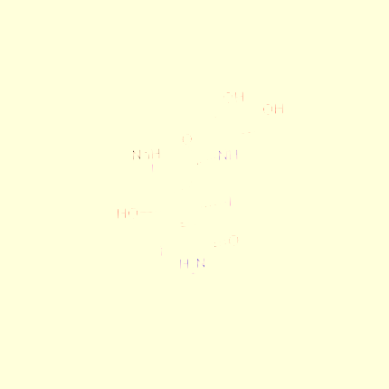 NC(=O)c1c(I)c(O)c(I)c(C(=O)NC(CO)CO)c1I.[NaH]